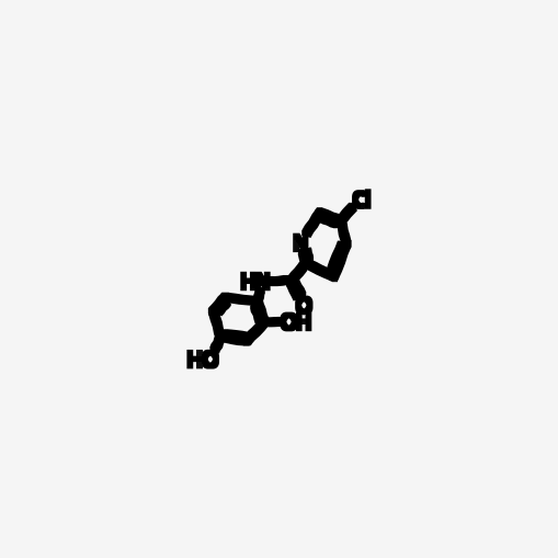 O=C(Nc1ccc(O)cc1O)c1ccc(Cl)cn1